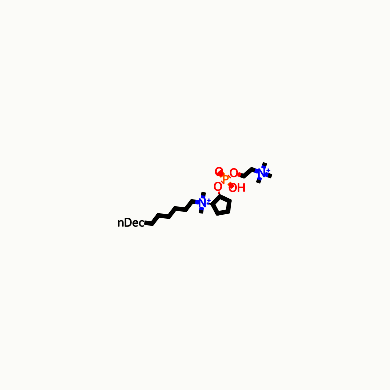 CCCCCCCCCCCCCCCC[N+](C)(C)[C@H]1CCC[C@H]1OP(=O)(O)OCC[N+](C)(C)C